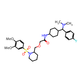 COc1ccc(S(=O)(=O)N2CCCCC2COCC(=O)NC2CCC(C(c3ccc(F)cc3)N(C)C)CC2)cc1OC